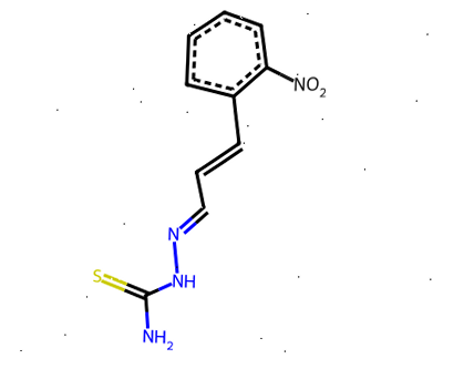 NC(=S)NN=C/C=C/c1ccccc1[N+](=O)[O-]